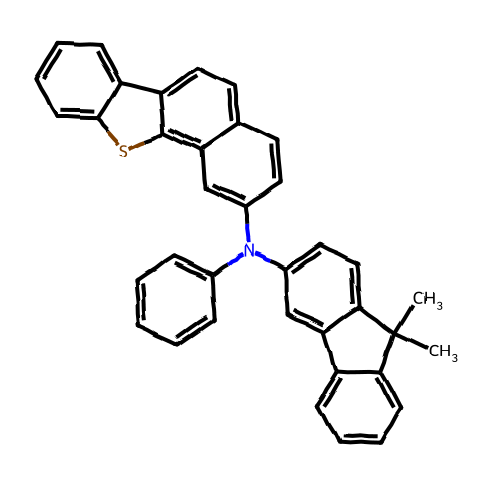 CC1(C)c2ccccc2-c2cc(N(c3ccccc3)c3ccc4ccc5c6ccccc6sc5c4c3)ccc21